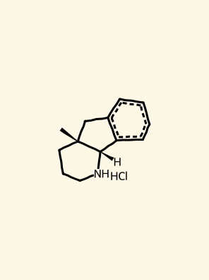 C[C@]12CCCN[C@H]1c1ccccc1C2.Cl